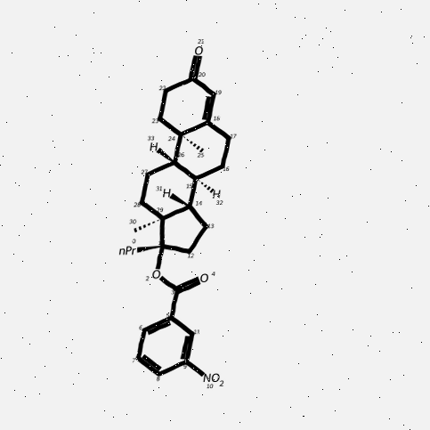 CCC[C@]1(OC(=O)c2cccc([N+](=O)[O-])c2)CC[C@H]2[C@@H]3CCC4=CC(=O)CC[C@]4(C)[C@H]3CC[C@@]21C